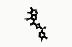 Cc1nnc2sc(C(=O)N3CC([S+]([O-])c4ccc(F)c(F)c4)C3)c(N)c2c1C